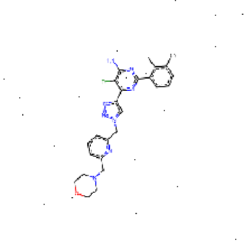 Cc1c(C#N)cccc1-c1nc(N)c(F)c(-c2cn(Cc3cccc(CN4CCOCC4)n3)nn2)n1